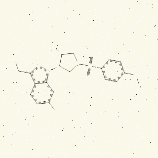 CC(C)Oc1ccc(S(=O)(=O)N2C[C@@H](n3nc(CC(=O)O)c4ccc(F)cc43)[C@@H](C)C2)cc1